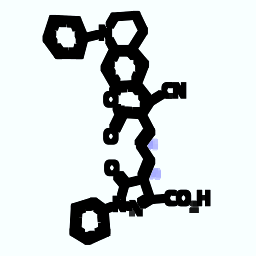 N#Cc1c(/C=C/C=C2\C(=O)N(c3ccccc3)N=C2C(=O)O)c(=O)oc2cc3c(cc12)CCCN3c1ccccc1